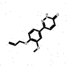 C=CCOc1ccc(-c2ccc(=O)[nH]n2)cc1OC